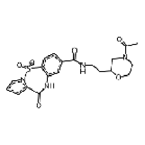 CC(=O)N1CCOC(CCNC(=O)c2ccc3c(c2)NC(=O)c2cccn2S3(=O)=O)C1